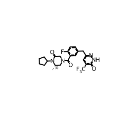 C[C@H]1CN(C(=O)c2cc(Cc3cc(C(F)(F)F)c(=O)[nH]n3)ccc2F)CC(=O)N1C1CCCC1